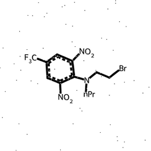 CCCN(CCBr)c1c([N+](=O)[O-])cc(C(F)(F)F)cc1[N+](=O)[O-]